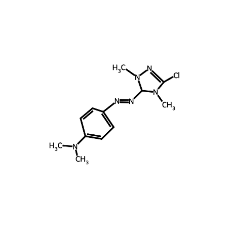 CN(C)c1ccc(N=NC2N(C)N=C(Cl)N2C)cc1